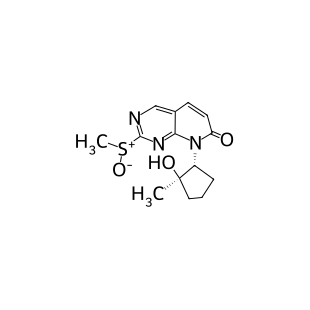 C[S+]([O-])c1ncc2ccc(=O)n([C@@H]3CCC[C@@]3(C)O)c2n1